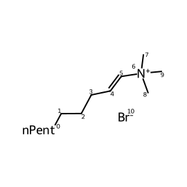 CCCCCCCCC=C[N+](C)(C)C.[Br-]